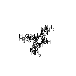 CC(C)(C)C(=O)OCOP1(=O)OC[C@H]2C[C@@H](n3cnc4c(N)ncnc43)C(F)C2OP(=O)(O)OC[C@H]2O[C@@H](n3cnc4c(N)ncnc43)C(F)C2O1